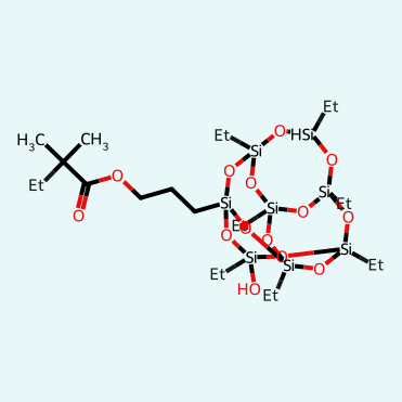 CC[SiH]1O[Si]2(CC)O[Si]3(CC)O[Si](O)(CC)O[Si]4(CCCOC(=O)C(C)(C)CC)O[Si](CC)(O1)O[Si](CC)(O2)O[Si](CC)(O3)O4